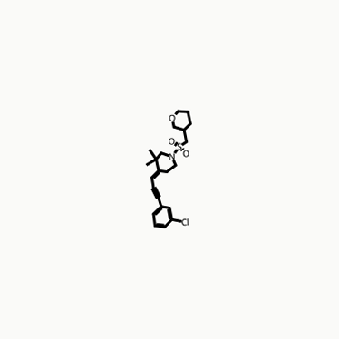 CC1(C)CN(S(=O)(=O)CC2CCCOC2)CC/C1=C\C#Cc1cccc(Cl)c1